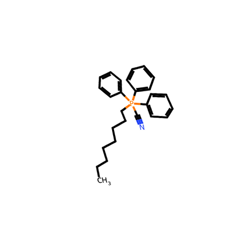 CCCCCCCCP(C#N)(c1ccccc1)(c1ccccc1)c1ccccc1